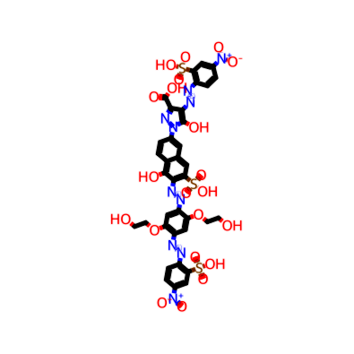 O=C(O)c1nn(-c2ccc3c(O)c(/N=N/c4cc(OCCO)c(/N=N/c5ccc([N+](=O)[O-])cc5S(=O)(=O)O)cc4OCCO)c(S(=O)(=O)O)cc3c2)c(O)c1/N=N/c1ccc([N+](=O)[O-])cc1S(=O)(=O)O